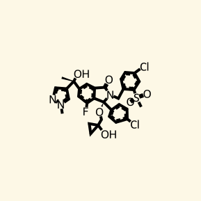 Cn1cc([C@](C)(O)c2cc(F)c3c(c2)C(=O)N(Cc2ccc(Cl)cc2S(C)(=O)=O)[C@@]3(OCC2(O)CC2)c2ccc(Cl)cc2)cn1